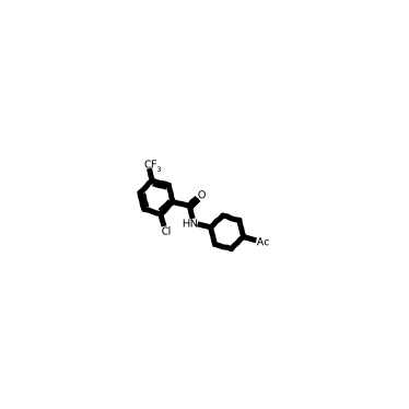 CC(=O)C1CCC(NC(=O)c2cc(C(F)(F)F)ccc2Cl)CC1